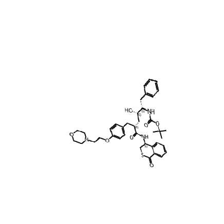 CC(C)(C)OC(=O)N[C@@H](Cc1ccccc1)[C@@H](O)C[C@@H](Cc1ccc(OCCN2CCOCC2)cc1)C(=O)N[C@@H]1CSC(=O)c2ccccc21